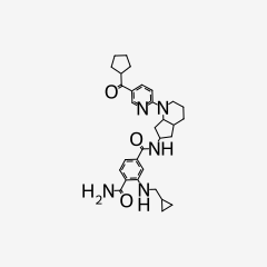 NC(=O)c1ccc(C(=O)NC2CC3CCCN(c4ccc(C(=O)C5CCCC5)cn4)C3C2)cc1NCC1CC1